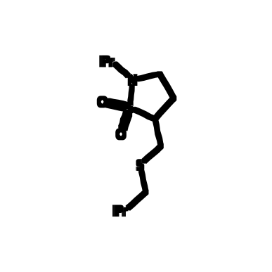 CC(C)CSCC1CCN(C(C)C)S1(=O)=O